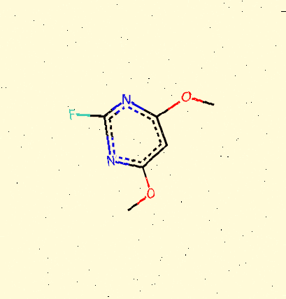 COc1cc(OC)nc(F)n1